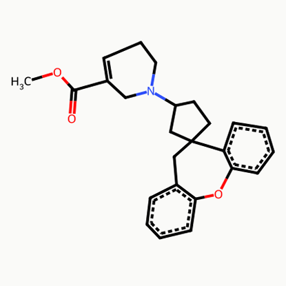 COC(=O)C1=CCCN(C2CCC3(Cc4ccccc4Oc4ccccc43)C2)C1